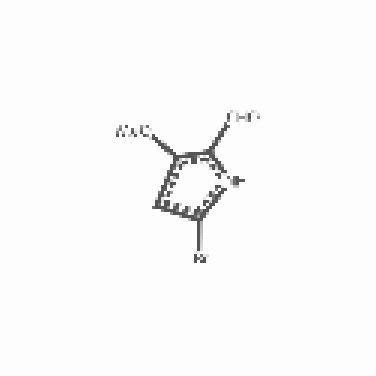 COc1cc(Br)[nH]c1C=O